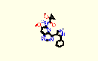 COc1cc2ncnc(-c3cn(C)nc3-c3ccccc3)c2nc1NC(=O)C1(OC)CC1